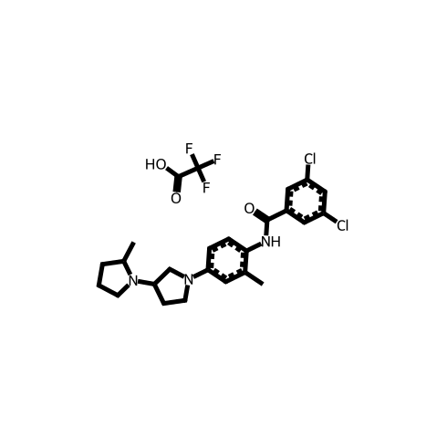 Cc1cc(N2CCC(N3CCCC3C)C2)ccc1NC(=O)c1cc(Cl)cc(Cl)c1.O=C(O)C(F)(F)F